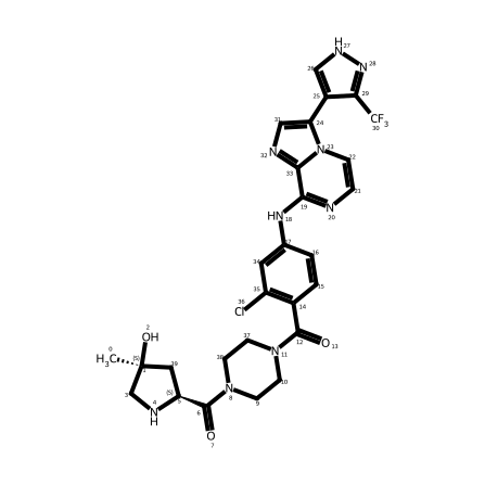 C[C@@]1(O)CN[C@H](C(=O)N2CCN(C(=O)c3ccc(Nc4nccn5c(-c6c[nH]nc6C(F)(F)F)cnc45)cc3Cl)CC2)C1